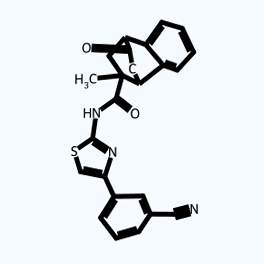 CC1(C(=O)Nc2nc(-c3cccc(C#N)c3)cs2)CC2C(=O)CC1c1ccccc12